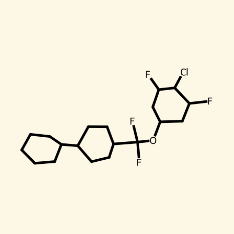 FC1CC(OC(F)(F)C2CCC(C3CCCCC3)CC2)CC(F)C1Cl